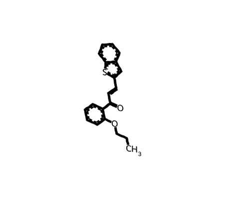 CCCOc1ccccc1C(=O)/C=C/c1cc2ccccc2s1